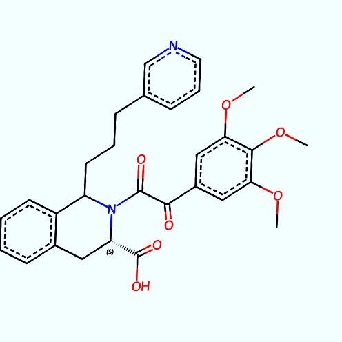 COc1cc(C(=O)C(=O)N2C(CCCc3cccnc3)c3ccccc3C[C@H]2C(=O)O)cc(OC)c1OC